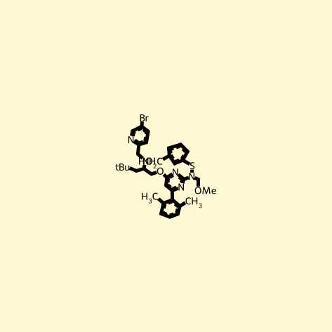 COCN(Sc1cccc(C(=O)O)c1)c1nc(OCC(CC(C)(C)C)NCc2ccc(Br)cn2)cc(-c2c(C)cccc2C)n1